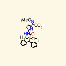 CO/N=C(/C(=O)O)c1csc(NC(=O)C(C)(C)C(c2ccccc2)c2ccccc2)n1